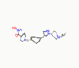 CC(=O)N1CCC(n2cc(-c3ccc(SN4CC=C(C(=O)NO)CC4)cc3)cn2)CC1